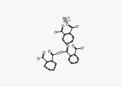 O=C([O-])c1ccccc1C(=O)[O-].O=C([O-])c1ccccc1C(=O)[O-].O=C([O-])c1ccccc1C(=O)[O-].[Nb+3].[Nb+3]